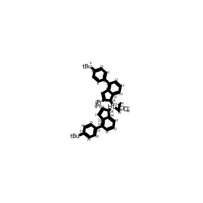 CC(C)C1=Cc2c(-c3ccc(C(C)(C)C)cc3)cccc2[CH]1[Hf+2]1([CH]2C(C(C)C)=Cc3c(-c4ccc(C(C)(C)C)cc4)cccc32)[CH2][CH2]1.[Cl-].[Cl-]